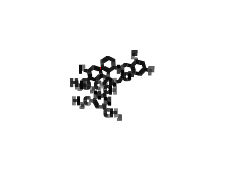 Cc1cc(C)nc(O[C@H](C(=O)O)[C@@]2(c3ccc(F)c(C)c3)NCC(=O)N(Cc3c(F)cc(F)cc3F)c3ccccc32)n1